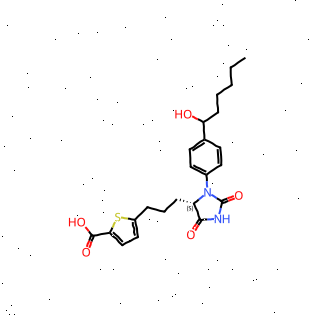 CCCCCC(O)c1ccc(N2C(=O)NC(=O)[C@@H]2CCCc2ccc(C(=O)O)s2)cc1